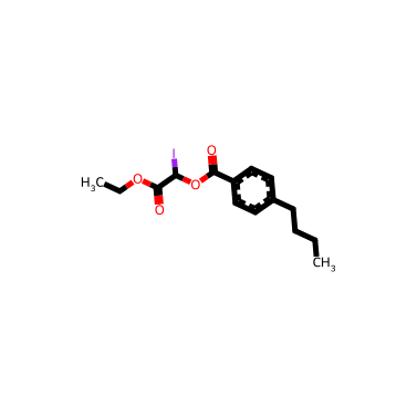 CCCCc1ccc(C(=O)OC(I)C(=O)OCC)cc1